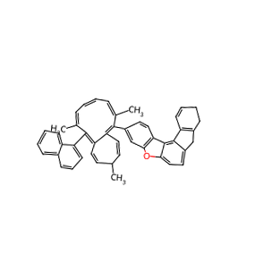 Cc1ccccc(C)c(-c2cccc3ccccc23)c2c(c1-c1ccc3c(c1)oc1ccc4c(c13)C1=C(CCC=C1)C4)C=CC(C)C=C2